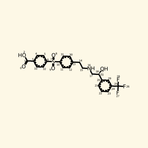 O=C(O)c1ccc(S(=O)(=O)c2ccc(CCNC[C@@H](O)c3cccc(C(F)(F)F)c3)cc2)cc1